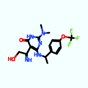 CC(Nc1nc(N(C)C)[nH]c(=O)c1C(=N)CO)c1ccc(OC(F)(F)F)cc1